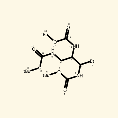 CCC(NC(=O)OC(C)(C)C)C(CNC(=O)OC(C)(C)C)NC(=O)OC(C)(C)C